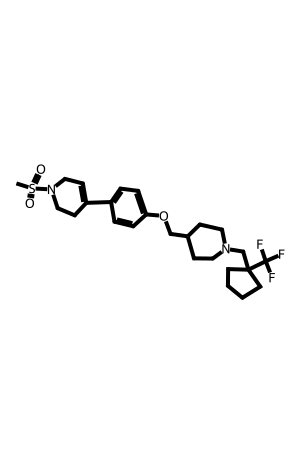 CS(=O)(=O)N1CC=C(c2ccc(OCC3CCN(CC4(C(F)(F)F)CCCC4)CC3)cc2)CC1